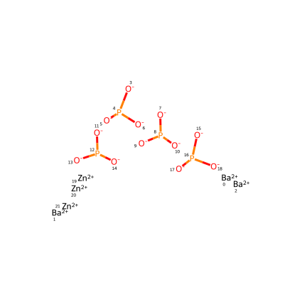 [Ba+2].[Ba+2].[Ba+2].[O-]P([O-])[O-].[O-]P([O-])[O-].[O-]P([O-])[O-].[O-]P([O-])[O-].[Zn+2].[Zn+2].[Zn+2]